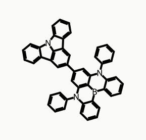 c1ccc(N2c3ccccc3B3c4ccccc4N(c4ccccc4)c4cc(-c5cc6c7ccccc7n7c8ccccc8c(c5)c67)cc2c43)cc1